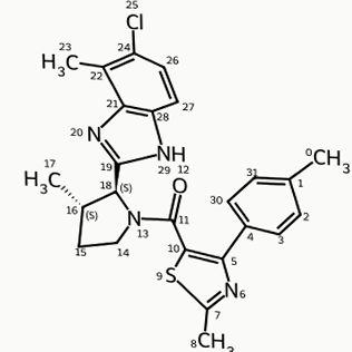 Cc1ccc(-c2nc(C)sc2C(=O)N2CC[C@H](C)[C@H]2c2nc3c(C)c(Cl)ccc3[nH]2)cc1